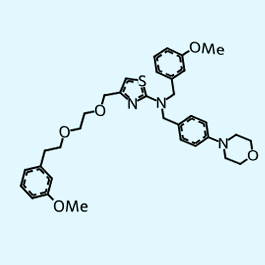 COc1cccc(CCOCCOCc2csc(N(Cc3ccc(N4CCOCC4)cc3)Cc3cccc(OC)c3)n2)c1